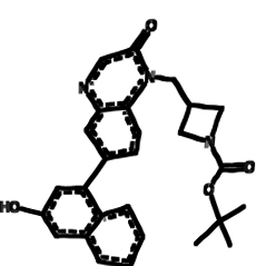 CC(C)(C)OC(=O)N1CC(Cn2c(=O)cnc3cc(-c4cc(O)cc5ccccc45)ccc32)C1